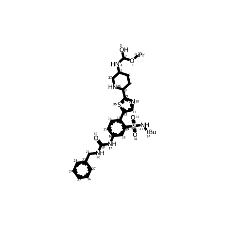 CC(C)OC(O)NC1CCC(c2ncc(-c3ccc(NC(=O)NCc4ccccc4)cc3S(=O)(=O)NC(C)(C)C)s2)NC1